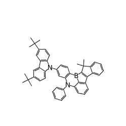 CC(C)(C)c1ccc2c(c1)c1cc(C(C)(C)C)ccc1n2-c1ccc2c(c1)N(c1ccccc1)c1cccc3c1B2C1=C3c2ccccc2C1(C)C